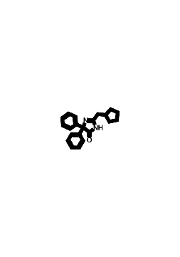 O=C1NC(CC2CCCC2)=NC1(c1ccccc1)c1ccccc1